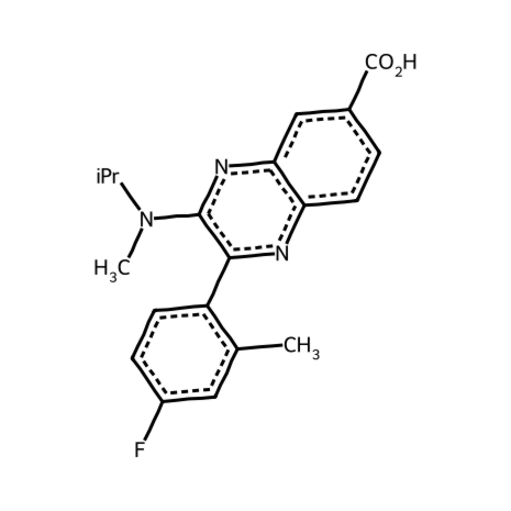 Cc1cc(F)ccc1-c1nc2ccc(C(=O)O)cc2nc1N(C)C(C)C